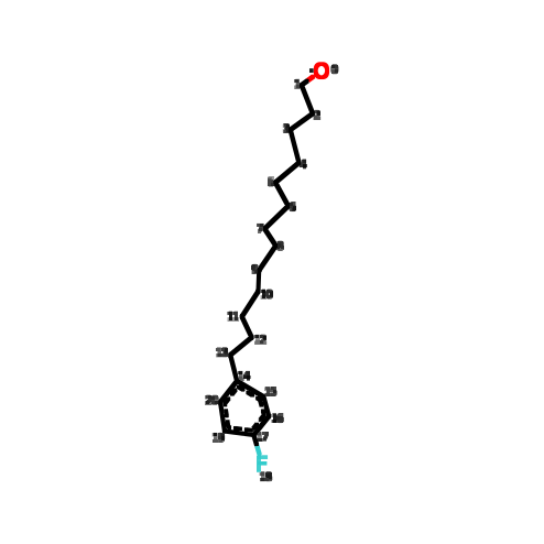 [O]CCCCCCCCCCCCCc1ccc(F)cc1